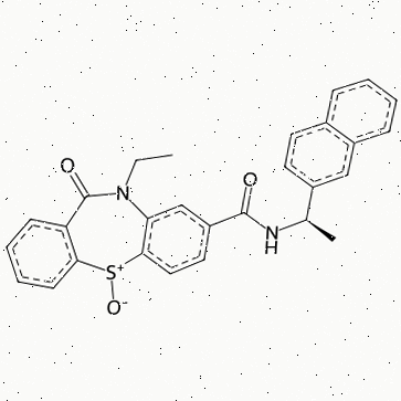 CCN1C(=O)c2ccccc2[S+]([O-])c2ccc(C(=O)N[C@H](C)c3ccc4ccccc4c3)cc21